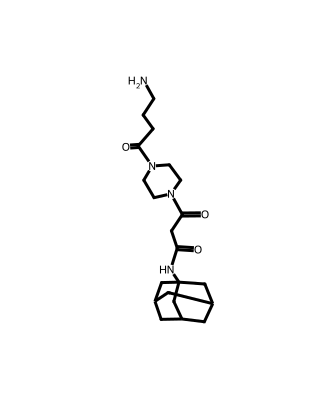 NCCCC(=O)N1CCN(C(=O)CC(=O)NC23CC4CC(CC(C4)C2)C3)CC1